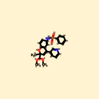 COC(OC)C1(C)C=C(c2cccnc2)c2cc(NS(=O)(=O)c3ccccc3)ccc2O1